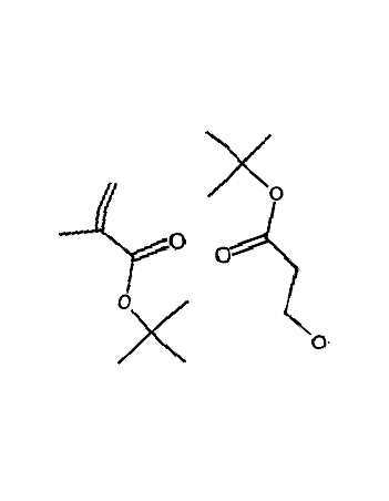 C=C(C)C(=O)OC(C)(C)C.CC(C)(C)OC(=O)CC[O]